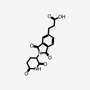 O=C(O)CCc1ccc2c(c1)C(=O)N(C1CCC(=O)NC1=O)C2=O